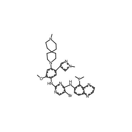 COc1cc(N2CCC3(CCN(C)CC3)CC2)c(-c2cnn(C)c2)cc1Nc1ncc(Br)c(Nc2ccc3nccnc3c2P(C)C)n1